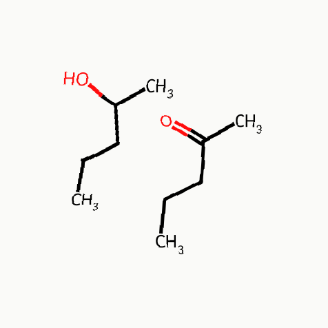 CCCC(C)=O.CCCC(C)O